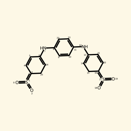 O=S(=O)=C1C=CC(Nc2ccc(NC3=CCC(=S(=O)=O)C=C3)cc2)=CC1